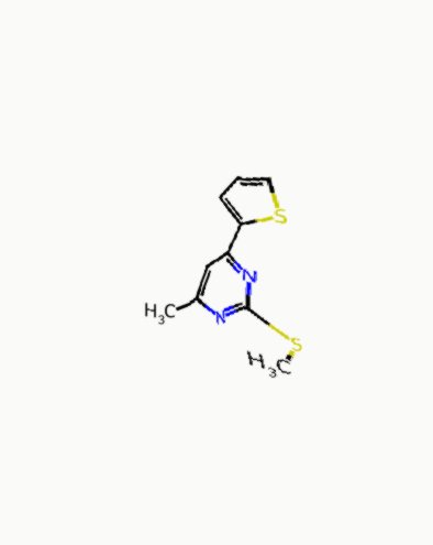 CSc1nc(C)cc(-c2cccs2)n1